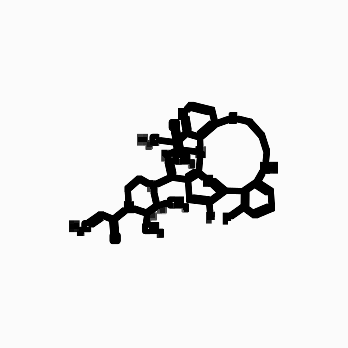 C=CC(=O)N1CCN(c2nc(=O)n3c4nc(c(F)cc24)-c2c(F)cccc2NCCCSc2ccnc(C(C)C)c2-3)[C@@H](C)[C@H]1C